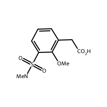 CNS(=O)(=O)c1cccc(CC(=O)O)c1OC